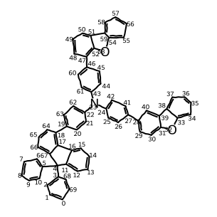 c1ccc(C2(c3ccccc3)c3ccccc3-c3c(-c4ccc(N(c5ccc(-c6ccc7oc8ccccc8c7c6)cc5)c5ccc(-c6cccc7c6oc6ccccc67)cc5)cc4)cccc32)cc1